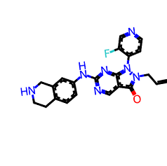 C=CCn1c(=O)c2cnc(Nc3ccc4c(c3)CNCC4)nc2n1-c1ccncc1F